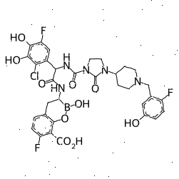 O=C(O)c1c(F)ccc2c1OB(O)C(NC(=O)C(NC(=O)N1CCN(C3CCN(Cc4cc(O)ccc4F)CC3)C1=O)c1cc(F)c(O)c(O)c1Cl)C2